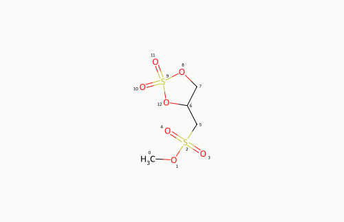 COS(=O)(=O)CC1COS(=O)(=O)O1